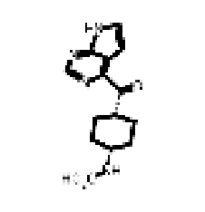 O=C(O)N[C@H]1CC[C@H](C(=O)c2ncnc3[nH]ccc23)CC1